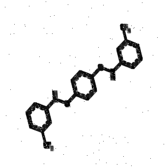 FC(F)(F)c1cccc(NOc2ccc(ONc3cccc(C(F)(F)F)c3)cc2)c1